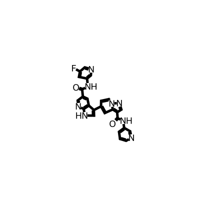 O=C(Nc1cncc(F)c1)c1cnc2[nH]cc(-c3ccn4ncc(C(=O)Nc5cccnc5)c4c3)c2c1